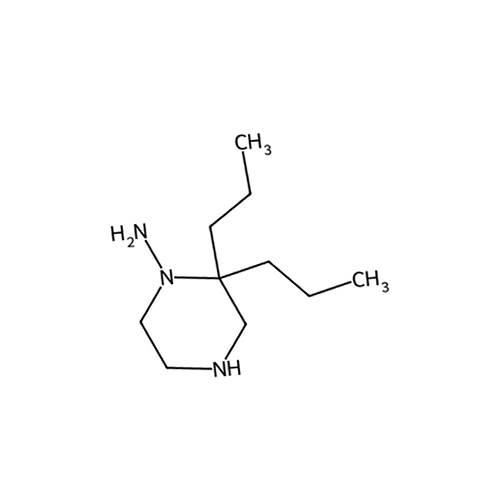 CCCC1(CCC)CNCCN1N